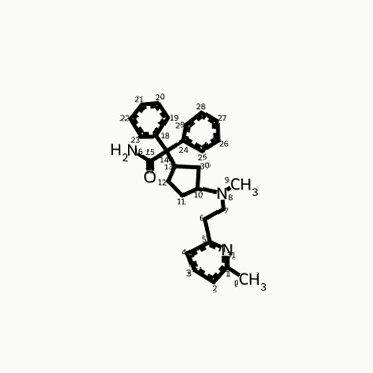 Cc1cccc(CCN(C)C2CCC(C(C(N)=O)(c3ccccc3)c3ccccc3)C2)n1